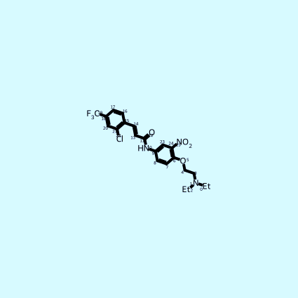 CCN(CC)CCOc1ccc(NC(=O)C=Cc2ccc(C(F)(F)F)cc2Cl)cc1[N+](=O)[O-]